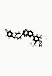 Cc1cc(-c2ccc3ncc(N4CCN(Cc5ccc(F)cc5)CC4)nc3c2)cc(C)c1O